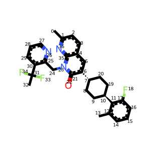 Cc1ccc2cc([C@H]3CC[C@H](c4c(C)cccc4F)CC3)c(=O)n(Cc3ncccc3C(C)(F)F)c2n1